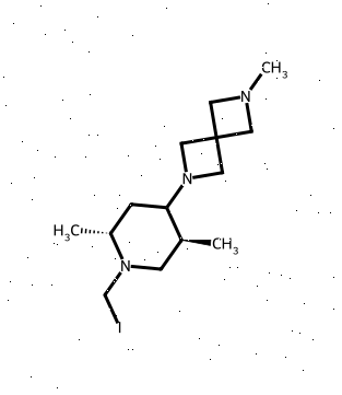 C[C@@H]1CC(N2CC3(CN(C)C3)C2)[C@@H](C)CN1CI